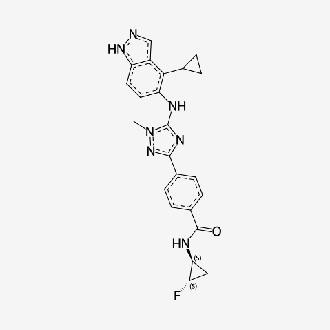 Cn1nc(-c2ccc(C(=O)N[C@H]3C[C@@H]3F)cc2)nc1Nc1ccc2[nH]ncc2c1C1CC1